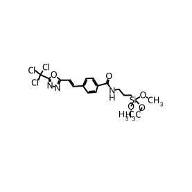 CO[Si](CCCNC(=O)c1ccc(C=Cc2nnc(C(Cl)(Cl)Cl)o2)cc1)(OC)OC